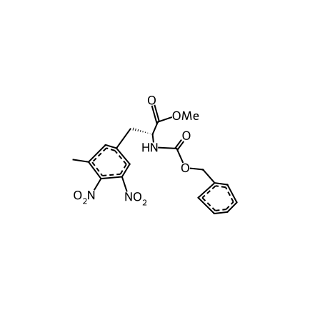 COC(=O)[C@@H](Cc1cc(C)c([N+](=O)[O-])c([N+](=O)[O-])c1)NC(=O)OCc1ccccc1